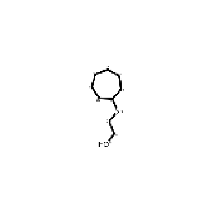 OCCSC1CCCCCC1